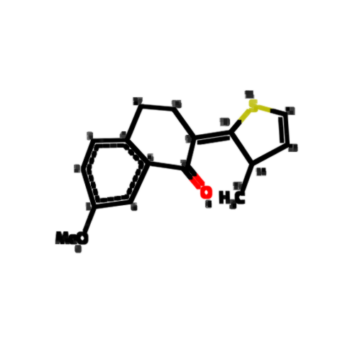 COc1ccc2c(c1)C(=O)C(=C1SC=CC1C)CC2